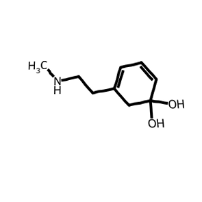 CNCCC1=CC=CC(O)(O)C1